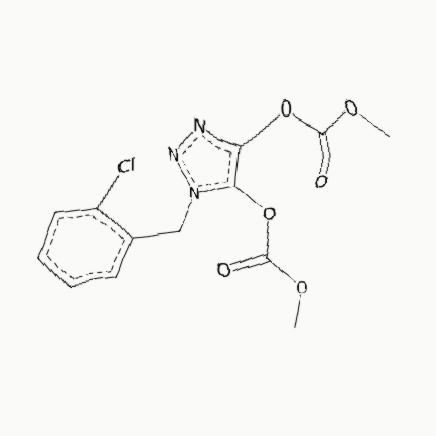 COC(=O)Oc1nnn(Cc2ccccc2Cl)c1OC(=O)OC